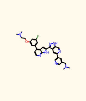 CN(C)CCOc1cc(F)cc(-c2ccnc3[nH]c(-c4n[nH]c5cnc(-c6cncc(CN(C)C)c6)cc45)cc23)c1